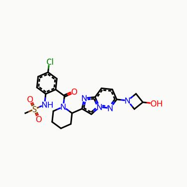 CS(=O)(=O)Nc1ccc(Cl)cc1C(=O)N1CCCCC1c1cn2nc(N3CC(O)C3)ccc2n1